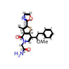 COC(Cc1ccccc1)c1cn(CC(N)=O)c(=O)c2c(C)c(-c3ncco3)sc12